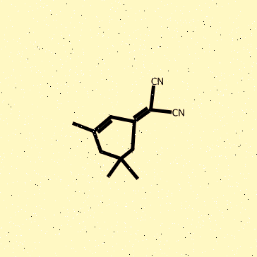 CC1=CC(=C(C#N)C#N)CC(C)(C)C1